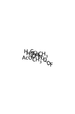 CC(=O)O[C@@H]1[CH][C@@]2(O)[C@H](C)CC[C@@H](C(C)CN3CCC(OCc4ccc(F)cc4)CC3)[C@H]2C=C1C